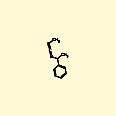 CN=C=NC(C)c1ccccc1